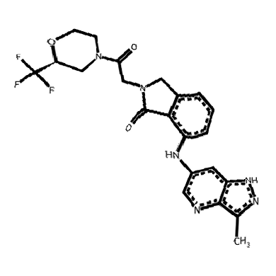 Cc1n[nH]c2cc(Nc3cccc4c3C(=O)N(CC(=O)N3CCO[C@H](C(F)(F)F)C3)C4)cnc12